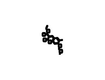 CCOC(=O)c1cc2cc(C)c(OCOC)cc2oc1=O